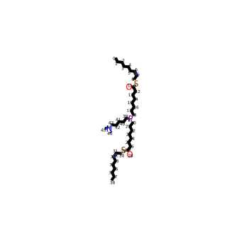 CCCCCC/C=C\CSC(=O)CCCCCCCP(CCCCCCCC(=O)SC/C=C\CCCCCC)CCCCCN(C)C